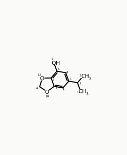 CC(C)c1cc(O)c2c(c1)OCO2